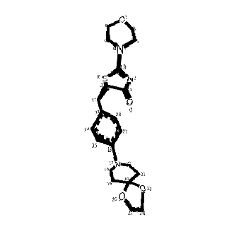 O=C1N=C(N2CCOCC2)SC1=Cc1ccc(N2CCC3(CC2)OCCO3)cc1